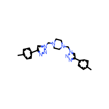 Cc1ccc(-c2cn(CN3CCN(Cn4cc(-c5ccc(C)cc5)nn4)CC3)nn2)cc1